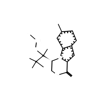 C[SiH2]OC(C)([C@@H]1CNC(=O)c2cc3ccc(C(F)(F)F)cc3n21)C(C)(C)C(C)C